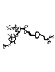 CC(C[Si](C)(O[SiH](C)O[Si](C)(C)C)O[Si](C)(CC(C)C(=O)OC1CO1)O[Si](C)(C)C)C(=O)OCCC1CCC(CCP(=O)=S=S)CC1